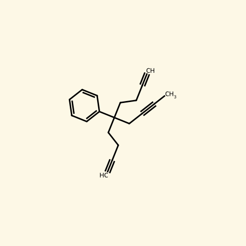 C#CCCC(CC#CC)(CCC#C)c1ccccc1